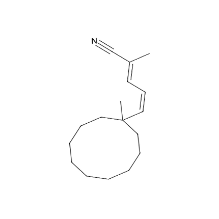 C/C(C#N)=C\C=C/C1(C)CCCCCCCCC1